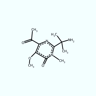 COc1c(C(C)=O)nc(C(C)(C)N)n(C)c1=O